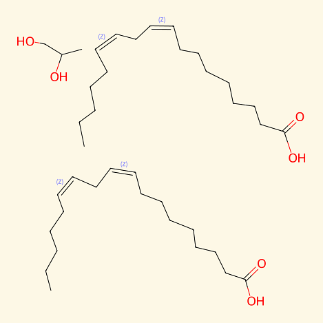 CC(O)CO.CCCCC/C=C\C/C=C\CCCCCCCC(=O)O.CCCCC/C=C\C/C=C\CCCCCCCC(=O)O